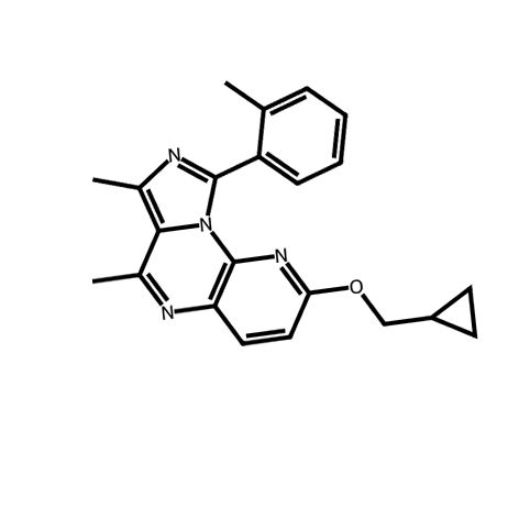 Cc1ccccc1-c1nc(C)c2c(C)nc3ccc(OCC4CC4)nc3n12